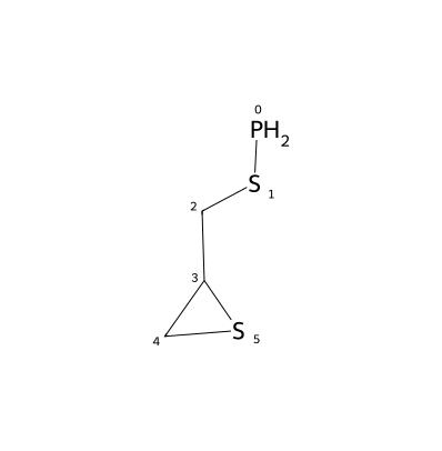 PSCC1CS1